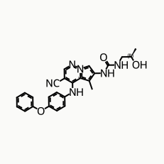 Cc1c(NC(=O)NC[C@@H](C)O)cn2ncc(C#N)c(Nc3ccc(Oc4ccccc4)cc3)c12